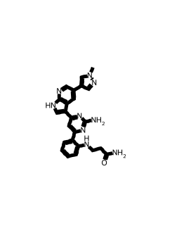 Cn1cc(-c2cnc3[nH]cc(-c4cc(-c5ccccc5NCCC(N)=O)nc(N)n4)c3c2)cn1